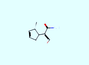 C[C@@H]1C=CCC1/C(=C\O)C(N)=O